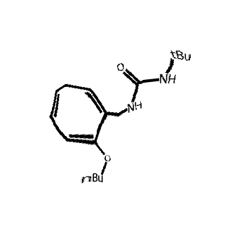 CCCCOc1ccccc1NC(=O)NC(C)(C)C